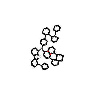 c1ccc(-c2ccccc2-c2ccccc2-c2ccc(N(c3ccc(-c4cccc5cccc(-c6ccccc6)c45)cc3)c3cccc4c3sc3c(-c5ccccc5)cccc34)cc2)cc1